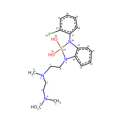 CN(CCN(C)C(=O)O)CCN1c2ccccc2N(c2ccccc2F)S1(O)O